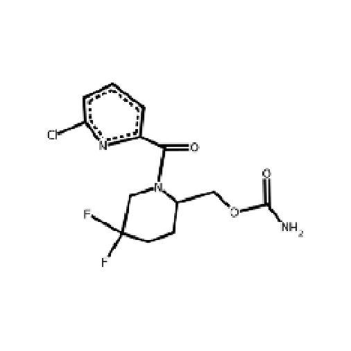 NC(=O)OCC1CCC(F)(F)CN1C(=O)c1cccc(Cl)n1